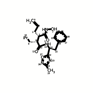 C=CC[C@H](C(=O)NO)[C@@H](CC(C)C)C(=O)N[C@@H](Cc1ccccc1)c1nc(C)no1